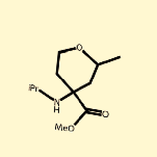 COC(=O)C1(NC(C)C)CCOC(C)C1